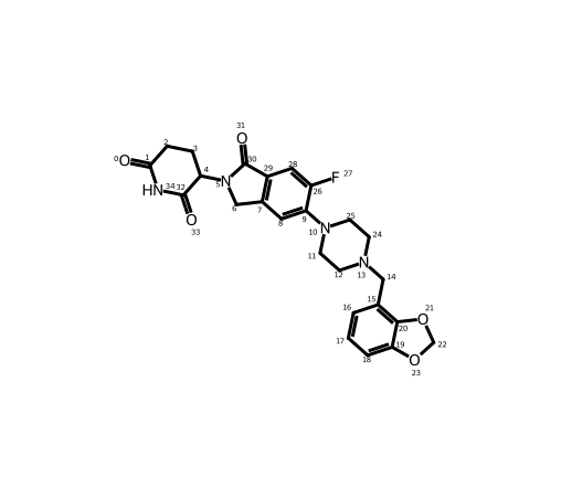 O=C1CCC(N2Cc3cc(N4CCN(Cc5cccc6c5OCO6)CC4)c(F)cc3C2=O)C(=O)N1